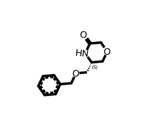 O=C1COC[C@H](COCc2ccccc2)N1